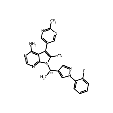 C[C@H](c1cnn(-c2ccccc2F)c1)n1c(C#N)c(-c2cnc(C(F)(F)F)nc2)c2c(N)ncnc21